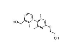 Cc1cc(OCCO)nc(C)c1-c1cccc(CO)c1C